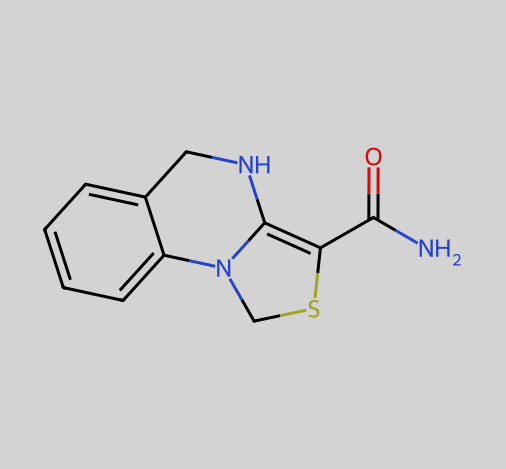 NC(=O)C1=C2NCc3ccccc3N2CS1